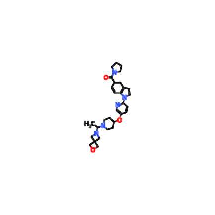 CC(N1CCC(Oc2ccc(-n3ccc4cc(C(=O)N5CCCC5)ccc43)nc2)CC1)N1CC2(COC2)C1